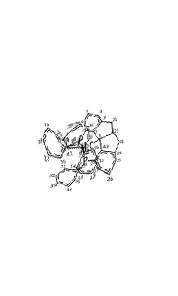 CC12c3c(cccc3P(c3ccccc3)c3ccccc3)CC1Cc1cccc(P(c3ccccc3)c3ccccc3)c12